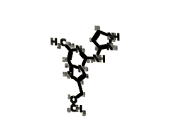 COCc1cn2c(Nc3cc[nH]n3)nc(C)cc2n1